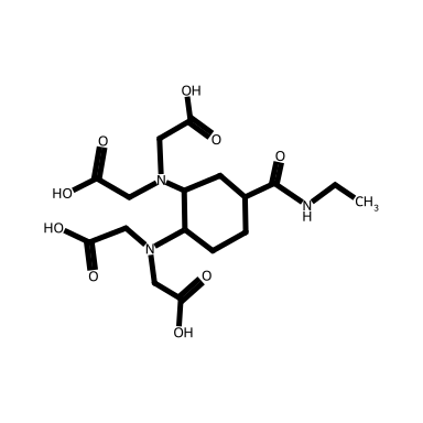 CCNC(=O)C1CCC(N(CC(=O)O)CC(=O)O)C(N(CC(=O)O)CC(=O)O)C1